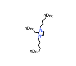 CCCCCCCCCCCCCCN1C=CN(CCCCCCCCCCCCCC)C1CCCCCCCCCCC